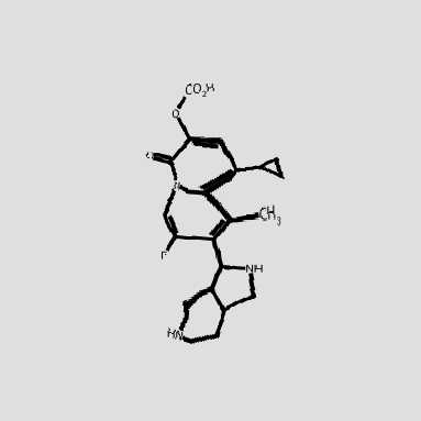 Cc1c(C2NCC3CNCC32)c(F)cn2c(=O)c(OC(=O)O)cc(C3CC3)c12